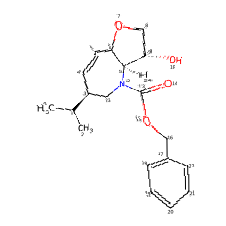 CC(C)[C@H]1C=CC2OC[C@H](O)[C@H]2N(C(=O)OCc2ccccc2)C1